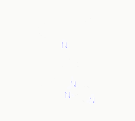 c1ccc(-c2cc(-c3ccccc3)nc(-c3ccc(-n4c(-c5ccccc5)nc5cnccc54)cc3)c2)cc1